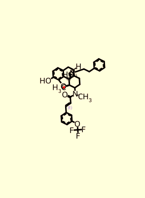 CN(C(=O)/C=C/c1cccc(OC(F)(F)F)c1)C1CC[C@@]2(O)[C@H]3Cc4ccc(O)c5c4[C@@]2(CCN3CCc2ccccc2)C1(C)O5